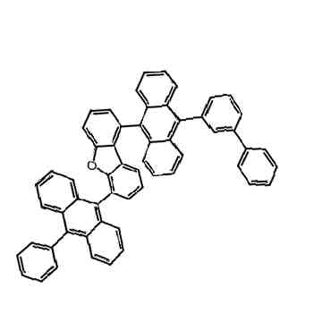 c1ccc(-c2cccc(-c3c4ccccc4c(-c4cccc5oc6c(-c7c8ccccc8c(-c8ccccc8)c8ccccc78)cccc6c45)c4ccccc34)c2)cc1